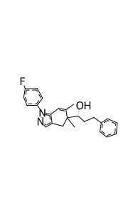 CC1=Cc2c(cnn2-c2ccc(F)cc2)CC1(C)[C@H](O)CCc1ccccc1